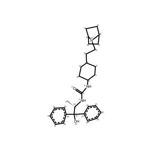 C[C@H](NC(=O)NC1CCC(CCN2C3CCC2CC3)CC1)C(O)(c1ccccc1)c1ccccc1